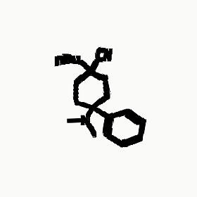 CCCCC1(C#N)CCC(c2ccccc2)(N(C)C)CC1